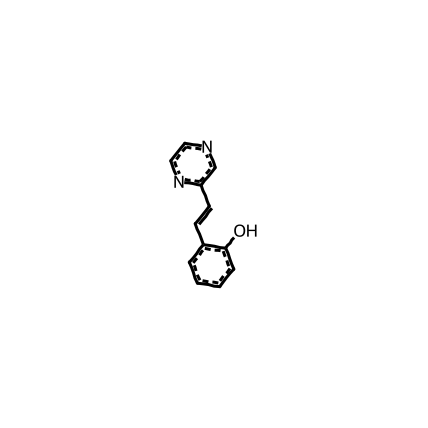 Oc1ccccc1C=Cc1cnccn1